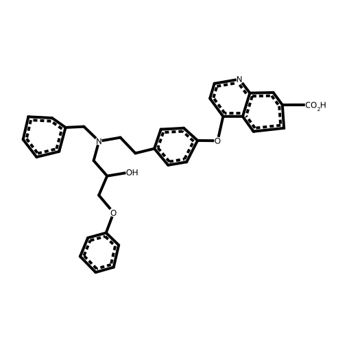 O=C(O)c1ccc2c(Oc3ccc(CCN(Cc4ccccc4)CC(O)COc4ccccc4)cc3)ccnc2c1